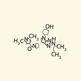 CCC[C@H](C)Nc1ncc2c([C@@H]3CCN(C(=O)c4cc(C)nc(C)c4)C3)cn(C3CCC(O)CC3)c2n1